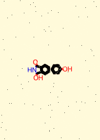 O=C1NC(O)c2ccccc21.Oc1ccccc1